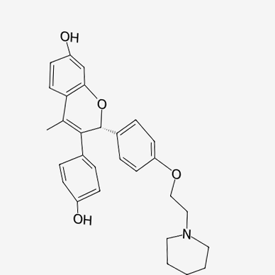 CC1=C(c2ccc(O)cc2)[C@@H](c2ccc(OCCN3CCCCC3)cc2)Oc2cc(O)ccc21